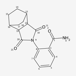 NC(=O)c1ccccc1N1C(=O)C2C3CCC(CC3)C2C1=O